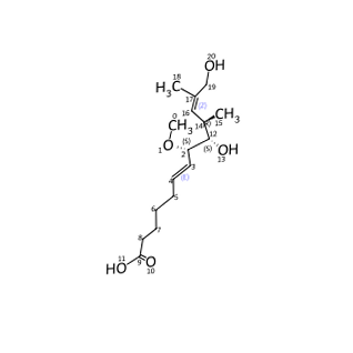 CO[C@@H](/C=C/CCCCC(=O)O)[C@@H](O)[C@H](C)/C=C(/C)CO